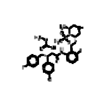 COC(=O)N[C@H](C(=O)Nc1cccc(F)c1CC[C@H]1CNC[C@H](C)N1S(C)(=O)=O)[C@@H](Cc1ccc(F)cc1)c1ccc(Cl)cc1